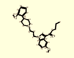 CCCCC(=O)c1cn(CCCN2CCC(c3ccccc3OC)CC2)c2ccc(OC)cc12